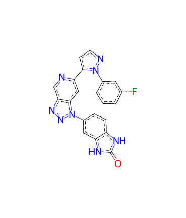 O=c1[nH]c2ccc(-n3nnc4cnc(-c5ccnn5-c5cccc(F)c5)cc43)cc2[nH]1